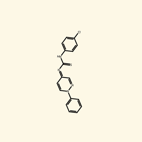 S=C(N=c1ccn(-c2ccccc2)nc1)Nc1ccc(Cl)cc1